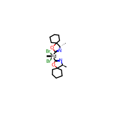 [CH2]=[Pd]([Br])([Br])([C]1=N[C@@H](C)C2(CCCCC2)O1)[C]1=N[C@@H](C)C2(CCCCC2)O1